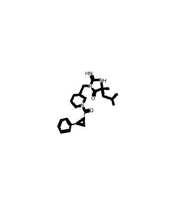 CC(C)CC1(C)NC(=N)N(CC2CCCN(C(=O)[C@@H]3C[C@H]3c3ccccc3)C2)C1=O